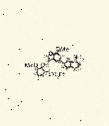 CCOC(=O)Cc1cccc(OC)c1OCc1coc2c(OC)cc(-c3ccc4ccnc(N)c4c3)cc12